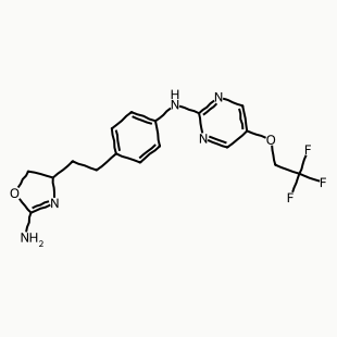 NC1=NC(CCc2ccc(Nc3ncc(OCC(F)(F)F)cn3)cc2)CO1